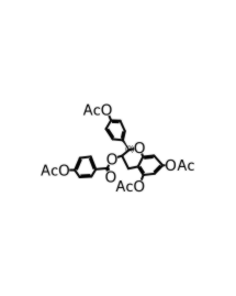 CC(=O)Oc1ccc(C(=O)OC2Cc3c(OC(C)=O)cc(OC(C)=O)cc3O[C@@H]2c2ccc(OC(C)=O)cc2)cc1